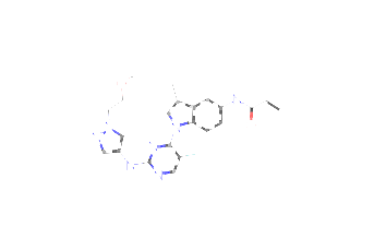 C=CC(=O)Nc1ccc2c(c1)c(C)cn2-c1nc(Nc2cnn(CCOCC)c2)ncc1F